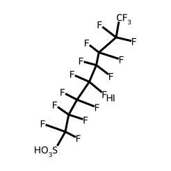 I.O=S(=O)(O)C(F)(F)C(F)(F)C(F)(F)C(F)(F)C(F)(F)C(F)(F)C(F)(F)C(F)(F)F